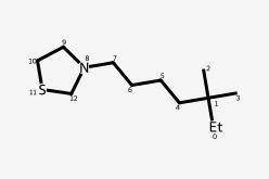 CCC(C)(C)CCCCN1CCSC1